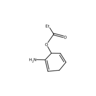 CCC(=O)OC1C=CCC=C1N